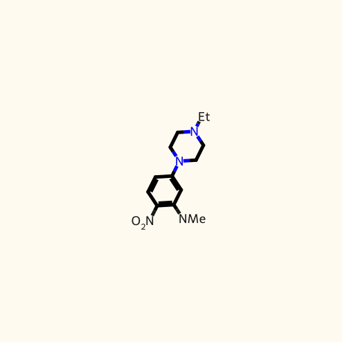 CCN1CCN(c2ccc([N+](=O)[O-])c(NC)c2)CC1